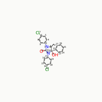 C[C@@H]1N(c2ccc(Cl)cc2)C(=O)N(c2ccc(Cl)cc2)C1(O)c1ccccc1